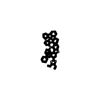 C=Cc1nc(-c2cc3oc4cccc(N(c5ccc(-c6ccccc6)cc5)c5cccc6c5-c5ccccc5C65c6ccccc6-c6ccccc65)c4c3c3ccccc23)oc1C=C